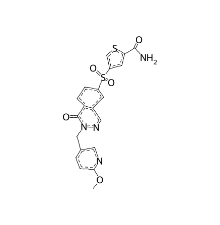 COc1ccc(Cn2ncc3cc(S(=O)(=O)c4csc(C(N)=O)c4)ccc3c2=O)cn1